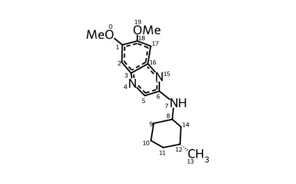 COc1cc2ncc(NC3CCC[C@@H](C)C3)nc2cc1OC